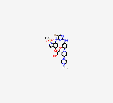 CN1CCN(C2CCN(c3ccc(Nc4ncc(Br)c(Nc5ccc(O)c6ccn(S(C)(=O)=O)c56)n4)cc3OCCCO)CC2)CC1